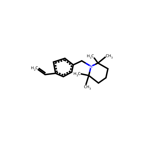 C=Cc1ccc(CN2C(C)(C)CCCC2(C)C)cc1